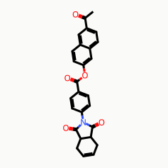 CC(=O)c1ccc2cc(OC(=O)c3ccc(N4C(=O)C5CC=CCC5C4=O)cc3)ccc2c1